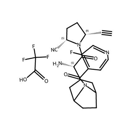 C#C[C@H]1CC[C@@H](C#N)N1C(=O)[C@@H](N)C1CC2CCC(C1)N2C(=O)c1ccncc1F.O=C(O)C(F)(F)F